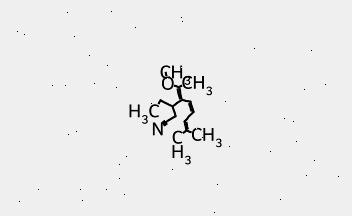 CCC(CC#N)C(/C=C\C=C(C)C)=C(/C)OC